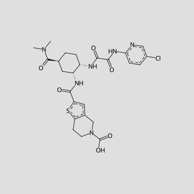 CN(C)C(=O)[C@H]1CC[C@H](NC(=O)C(=O)Nc2ccc(Cl)cn2)[C@H](NC(=O)c2cc3c(s2)CCN(C(=O)O)C3)C1